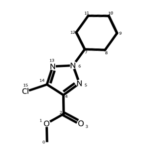 COC(=O)c1nn(C2CCCCC2)nc1Cl